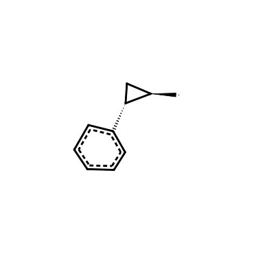 [CH2][C@@H]1C[C@H]1c1ccccc1